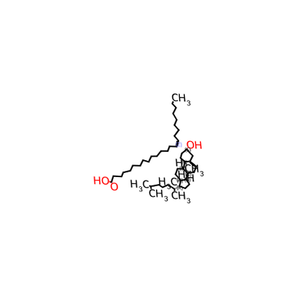 CC(C)CCCC(C)[C@H]1CC[C@H]2[C@@H]3CC=C4C[C@@H](O)CC[C@]4(C)[C@H]3CC[C@]12C.CCCCCCCC/C=C\CCCCCCCCCCCCCC(=O)O